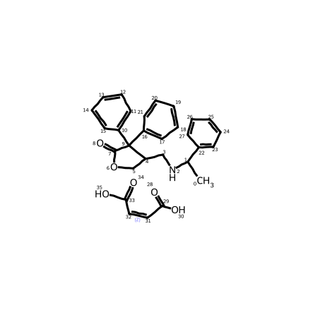 CC(NCC1COC(=O)C1(c1ccccc1)c1ccccc1)c1ccccc1.O=C(O)/C=C\C(=O)O